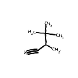 [CH2]C(C#N)C(C)(C)C